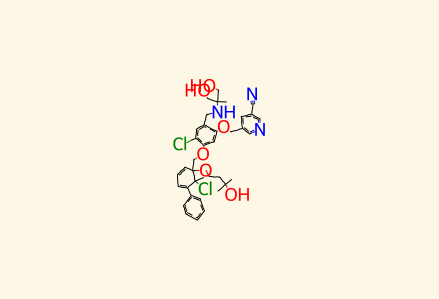 CC(C)(O)CCOC1(COc2cc(OCc3cncc(C#N)c3)c(CNC(C)(CO)CO)cc2Cl)C=CC=C(c2ccccc2)C1(C)Cl